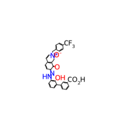 O=C1C(=NNc2cccc(-c3cccc(C(=O)O)c3)c2O)C=CC2=C1C[N+]([O-])(Cc1ccc(C(F)(F)F)cc1)C=C2